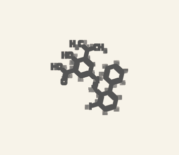 CC(C)c1cc(/N=N/c2c(I)cccc2-c2ccccc2)cc(C(=O)O)c1O